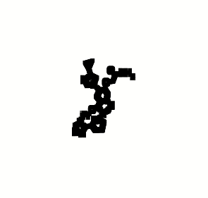 CC(C)n1cnnc1-c1cccc(-n2cnc3cc(OCC(N)=O)c(-n4cnc(C5CC5)c4)cc3c2=O)n1